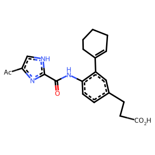 CC(=O)c1c[nH]c(C(=O)Nc2ccc(CCC(=O)O)cc2C2=CCCCC2)n1